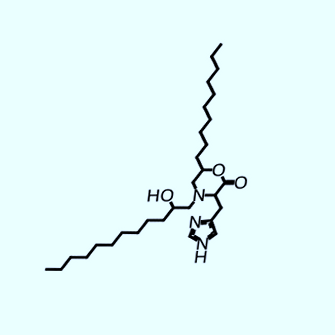 CCCCCCCCCCC(O)CN1CC(CCCCCCCCCC)OC(=O)C1Cc1c[nH]cn1